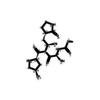 COC(=O)N[C@H](C(=O)N(C(=O)[C@@H]1C[C@@H](C(F)(F)F)CN1)[C@H](C#N)C[C@@H]1CCNC1=O)C(C)(C)C